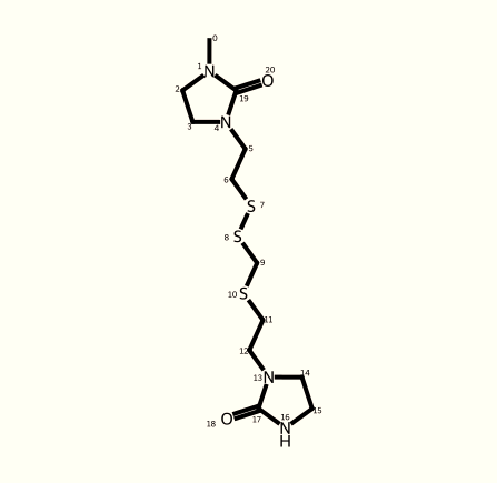 CN1CCN(CCSSCSCCN2CCNC2=O)C1=O